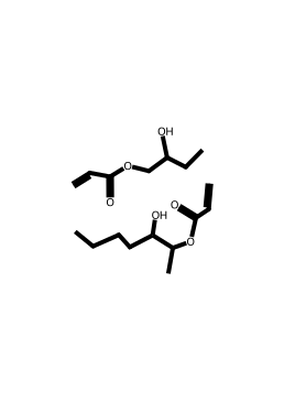 C=CC(=O)OC(C)C(O)CCCC.C=CC(=O)OCC(O)CC